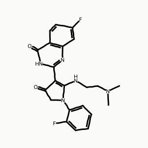 CN(C)CCNC1=C(c2nc3cc(F)ccc3c(=O)[nH]2)C(=O)CN1c1ccccc1F